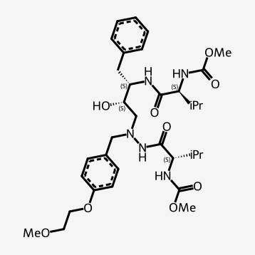 COCCOc1ccc(CN(C[C@H](O)[C@H](Cc2ccccc2)NC(=O)[C@@H](NC(=O)OC)C(C)C)NC(=O)[C@@H](NC(=O)OC)C(C)C)cc1